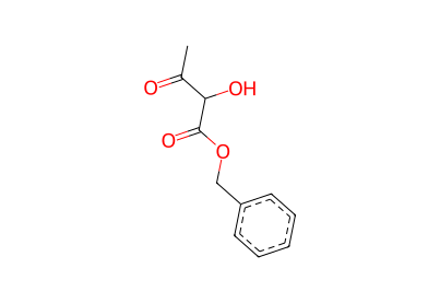 CC(=O)C(O)C(=O)OCc1ccccc1